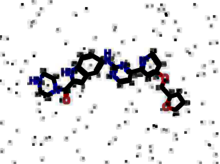 O=C(c1cc2cc(Nc3nccc(-c4cc(OCC5CCCO5)ccn4)n3)ccc2[nH]1)N1CCNCC1